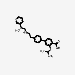 CC(C)Sc1cc(-c2ccc(CCNC[C@H](O)c3cccnc3)cc2)ccc1C(=O)O